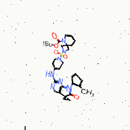 CC1CCCC1N1C(=O)C2(CC2)c2cnc(NC3CCN(S(=O)(=O)N4CC5(CCCCN5C(=O)OC(C)(C)C)C4)CC3)nc21